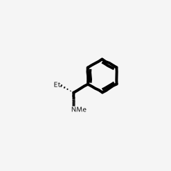 CC[C@@H](NC)c1ccccc1